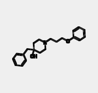 OC1(Cc2ccccc2)CCN(CCCOc2ccccc2)CC1